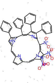 O=[N+]([O-])c1c([N+](=O)[O-])c2c([N+](=O)[O-])c3nc(c(-c4ccccc4)c4[nH]c(cc5nc(cc1n2[N+](=O)[O-])C=C5)cc4-c1ccccc1)C(c1ccccc1)=C3c1ccccc1